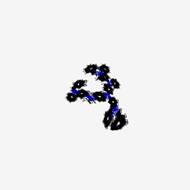 [2H]N(c1ccc(N(c2ccc(N(c3ccccc3)c3ccc4c(c3)c3ccccc3n4Cc3ccccc3)cc2)c2ccc3c(c2)c2ccccc2n3Cc2ccccc2)cc1)c1ccc2c(c1)c1ccccc1n2Cc1ccccc1